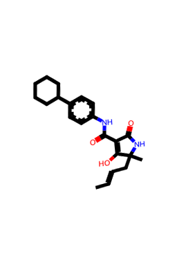 C/C=C/CC1(C)NC(=O)C(C(=O)Nc2ccc(C3CCCCC3)cc2)=C1O